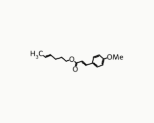 C/C=C/CCCOC(=O)/C=C/c1ccc(OC)cc1